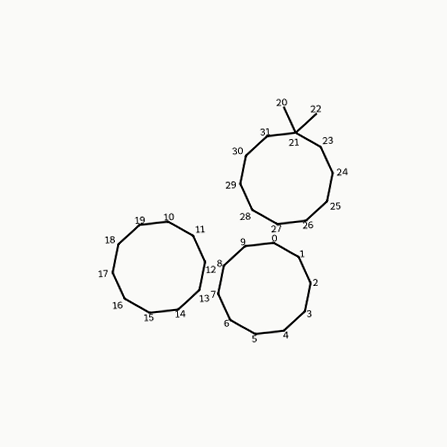 C1CCCCCCCCC1.C1CCCCCCCCC1.CC1(C)CCCCCCCCC1